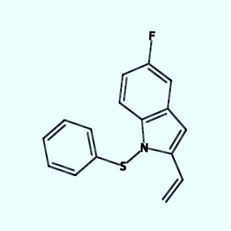 C=Cc1cc2cc(F)ccc2n1Sc1ccccc1